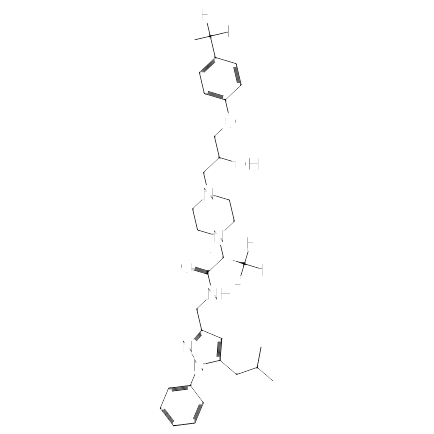 CC(C)Cc1cc(CNC(=O)[C@@H](N2CCN(CC(O)COc3ccc(C(F)(F)F)cc3)CC2)C(F)(F)F)nn1-c1ccccc1